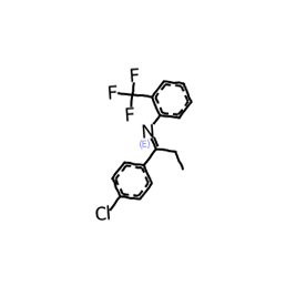 CC/C(=N\c1ccccc1C(F)(F)F)c1ccc(Cl)cc1